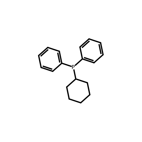 c1ccc(P(c2ccccc2)C2CCCCC2)cc1